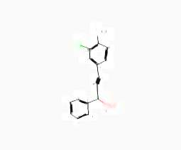 COc1ccc(C#CC(O)c2ccccc2)cc1Cl